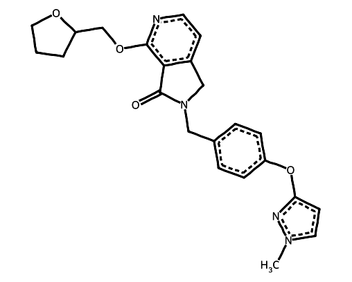 Cn1ccc(Oc2ccc(CN3Cc4ccnc(OCC5CCCO5)c4C3=O)cc2)n1